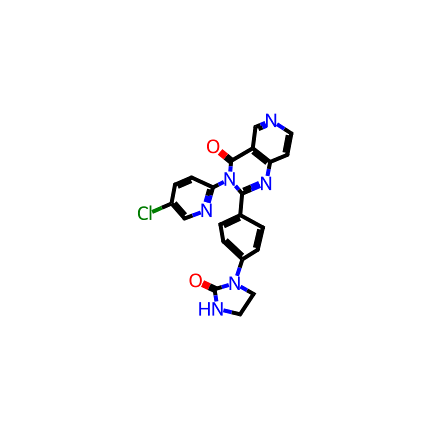 O=C1NCCN1c1ccc(-c2nc3ccncc3c(=O)n2-c2ccc(Cl)cn2)cc1